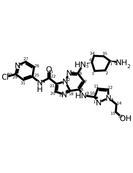 N[C@H]1CC[C@H](Nc2cc(Nc3ccn(CCO)n3)c3ncc(C(=O)Nc4ccnc(Cl)c4)n3n2)CC1